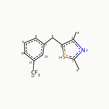 Cc1nc(C)c(Cc2cccc(C(F)(F)F)c2)s1